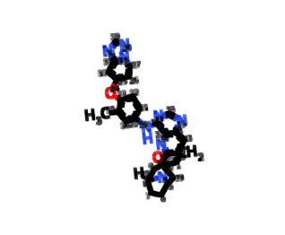 C=CC(=O)N1C2CC[C@H]1C[C@@H](c1ccc3ncnc(Nc4ccc(Oc5ccn6ncnc6c5)c(C)c4)c3n1)C2